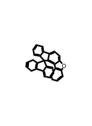 C1#CCC2=C(C1)c1ccccc1C21c2ccccc2-c2ccc3oc4c(c3c21)CCC=C4